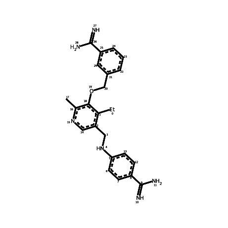 CCc1c(CNc2ccc(C(=N)N)cc2)cnc(C)c1OCc1cccc(C(=N)N)c1